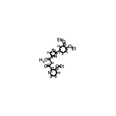 CCOc1ccc(-c2nc(C(C)CC(=O)c3ncccc3OCC)cs2)cc1OCC